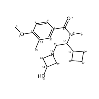 COc1ccc(C(=O)N(C)C(CN2CC(O)C2)C2CCC2)cc1C